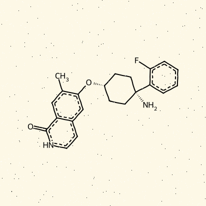 Cc1cc2c(=O)[nH]ccc2cc1O[C@H]1CC[C@](N)(c2ccccc2F)CC1